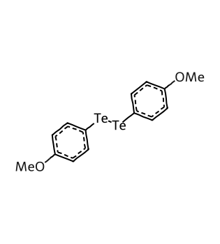 COc1ccc([Te][Te]c2ccc(OC)cc2)cc1